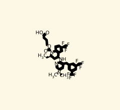 CC[C@@H]1C[C@H](Nc2ncc(N(C)C)cc2Cc2cc(C(F)(F)F)cc(C(F)(F)F)c2)c2cc(C(F)(F)F)ccc2N1C(=O)OCCCC(=O)O